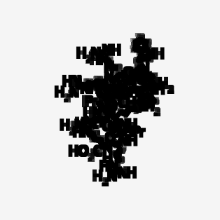 CC(C)[C@H](NC(=O)[C@H](CCCCN)NC(=O)[C@H](C)NC(=O)[C@@H](NC(=O)[C@@H](NC(=O)[C@H](CCCNC(=N)N)NC(=O)[C@H](CCCNC(=N)N)NC(=O)[C@H](Cc1c[nH]c2ccccc12)NC(=O)[C@H](Cc1c[nH]c2ccccc12)NC(=O)CN)[C@@H](C)O)C(C)C)C(=O)N[C@@H](CCCNC(=N)N)C(=O)N[C@@H](CCCNC(=N)N)C(=O)O